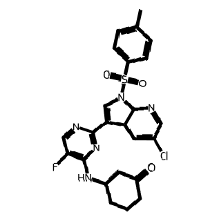 Cc1ccc(S(=O)(=O)N2C=C(c3ncc(F)c(NC4CCCC(=O)C4)n3)C3C=C(Cl)C=NC32)cc1